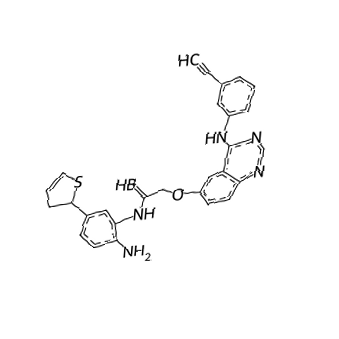 B=C(COc1ccc2ncnc(Nc3cccc(C#C)c3)c2c1)Nc1cc(C2CC=CS2)ccc1N